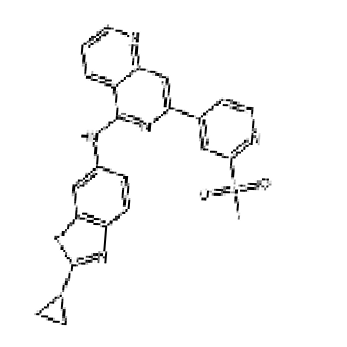 CS(=O)(=O)c1cc(-c2cc3ncccc3c(Nc3ccc4nc(C5CC5)sc4c3)n2)ccn1